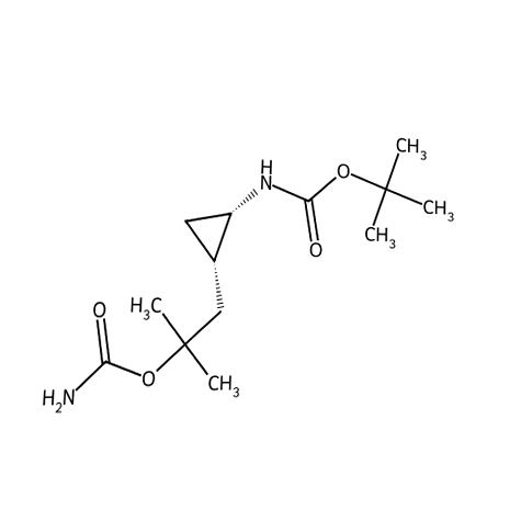 CC(C)(C)OC(=O)N[C@H]1C[C@H]1CC(C)(C)OC(N)=O